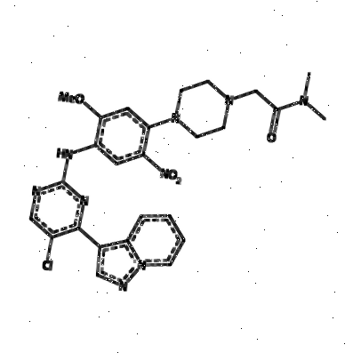 COc1cc(N2CCN(CC(=O)N(C)C)CC2)c([N+](=O)[O-])cc1Nc1ncc(Cl)c(-c2cnn3ccccc23)n1